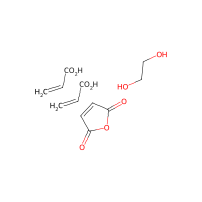 C=CC(=O)O.C=CC(=O)O.O=C1C=CC(=O)O1.OCCO